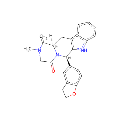 C=C1[C@H]2Cc3c([nH]c4ccccc34)[C@@H](c3ccc4c(c3)CCO4)N2C(=O)CN1C